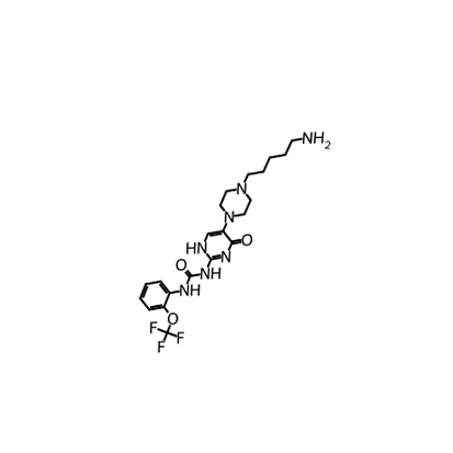 NCCCCCN1CCN(c2c[nH]c(NC(=O)Nc3ccccc3OC(F)(F)F)nc2=O)CC1